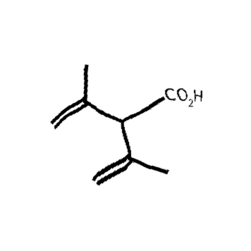 C=C(C)C(C(=C)C)C(=O)O